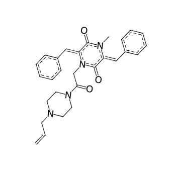 C=CCN1CCN(C(=O)Cn2c(=O)/c(=C/c3ccccc3)n(C)c(=O)/c2=C/c2ccccc2)CC1